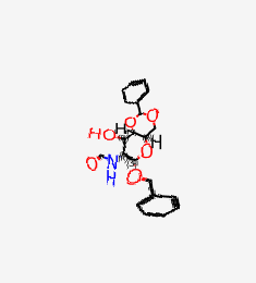 O=CN[C@H]1[C@@H](OCc2ccccc2)O[C@@H]2COC(c3ccccc3)O[C@H]2[C@@H]1O